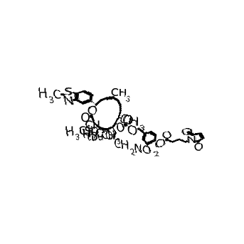 C=CC[C@H]1C(=O)C(C)(C)[C@@H](O[Si](C)(C)C(C)(C)C)CC(=O)O[C@H](c2ccc3sc(C)nc3c2)CC=C(C)CCC[C@H](C)[C@@H]1OC(=O)OCc1ccc(OC(=O)CCCN2C(=O)C=CC2=O)c([N+](=O)[O-])c1